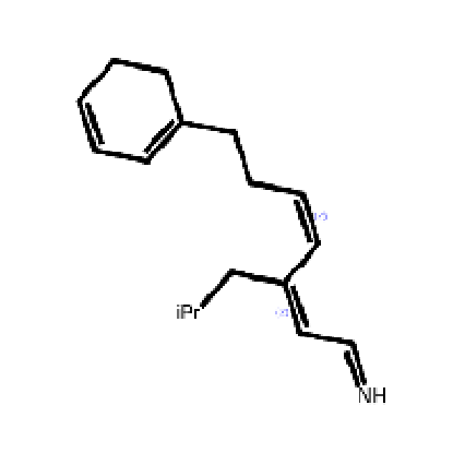 CC(C)CC(/C=C\CCC1=CC=CCC1)=C/C=N